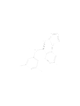 Fc1cc(I)cc(N(c2nc3nncn3c3cc(Cl)ccc23)C(F)(F)F)c1